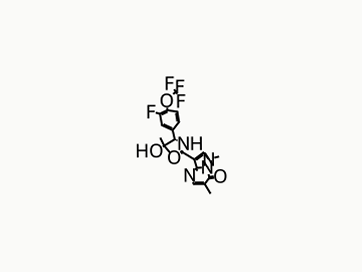 Cc1cnc2c(C(=O)N[C@@H](c3ccc(OC(F)(F)F)c(F)c3)C(C)(C)O)cn(C)n2c1=O